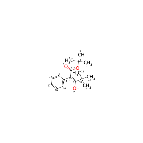 CC(C)(C)OC(=O)C(=C(O)C(C)(C)C)c1ccccc1